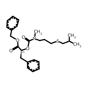 CC(C)CSCCCN(C)C(=O)O[C@@H](Cc1ccccc1)C(=O)OCc1ccccc1